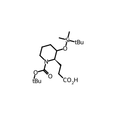 CC(C)(C)OC(=O)N1CCCC(O[Si](C)(C)C(C)(C)C)[C@H]1CCC(=O)O